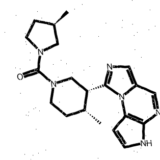 C[C@@H]1CCN(C(=O)N2CC[C@@H](C)[C@@H](c3ncc4cnc5[nH]ccc5n34)C2)C1